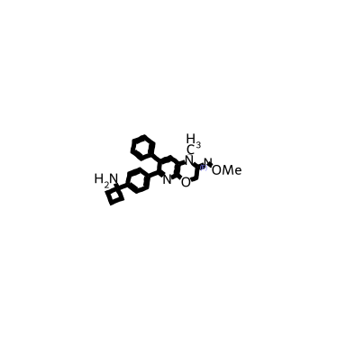 CO/N=C1\COc2nc(-c3ccc(C4(N)CCC4)cc3)c(-c3ccccc3)cc2N1C